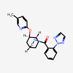 Cc1ccc(O[C@@H]2C[C@H]3CC[C@@H]2N(C(=O)c2ccccc2-n2nccn2)C3)nc1